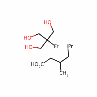 CC(C)CC(C)CC(=O)O.CCC(CO)(CO)CO